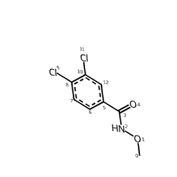 CONC(=O)c1ccc(Cl)c(Cl)c1